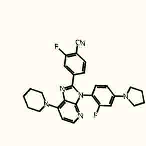 N#Cc1ccc(-c2nc3c(N4CCCCC4)ccnc3n2-c2ccc(N3CCCC3)cc2F)cc1F